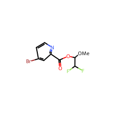 COC(OC(=O)c1cc(Br)ccn1)C(F)F